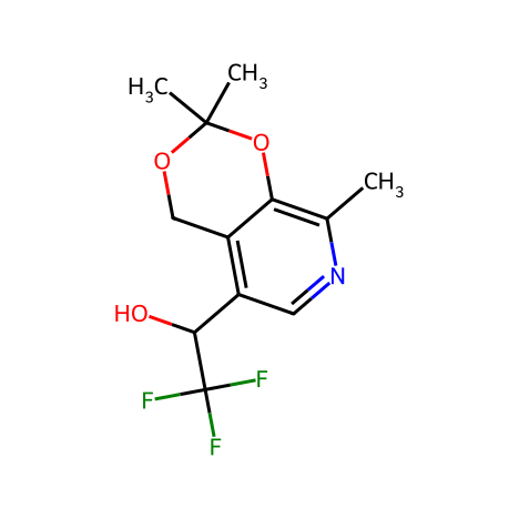 Cc1ncc(C(O)C(F)(F)F)c2c1OC(C)(C)OC2